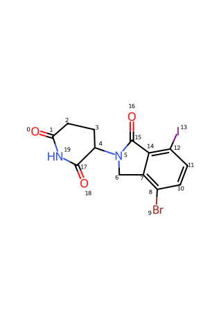 O=C1CCC(N2Cc3c(Br)ccc(I)c3C2=O)C(=O)N1